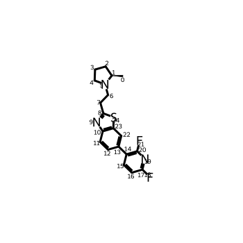 C[C@@H]1CCCN1CCc1nc2ccc(-c3ccc(F)nc3F)cc2s1